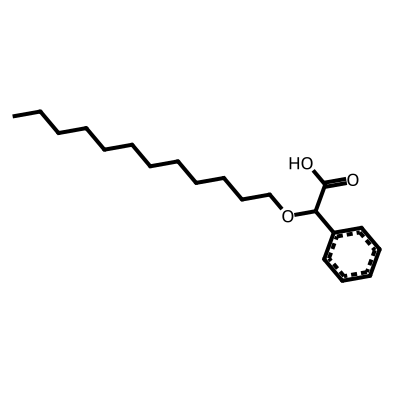 CCCCCCCCCCCCOC(C(=O)O)c1ccccc1